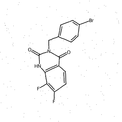 O=c1[nH]c2c(F)c(F)ccc2c(=O)n1Cc1ccc(Br)cc1